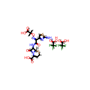 CC(C)(ON=C(C(=O)NC1C(=O)N2C(C(=O)O)=CCS[C@@H]12)c1csc(N)n1)C(=O)O.O=C(O)C(F)(F)F.O=C(O)C(F)(F)F